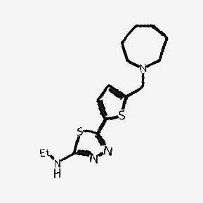 CCNc1nnc(-c2ccc(CN3CCCCCC3)s2)s1